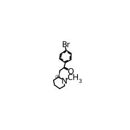 CN1CCCC[C@H]1CC(=O)c1ccc(Br)cc1